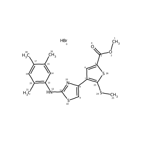 Br.COC(=O)c1cc(-c2csc(Nc3cc(C)c(C)cc3C)n2)c(SC)s1